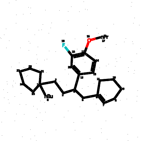 CCCCC1(CCC(CC2=CCCCC2)c2ccc(OCCC)c(F)c2)CCCCC1